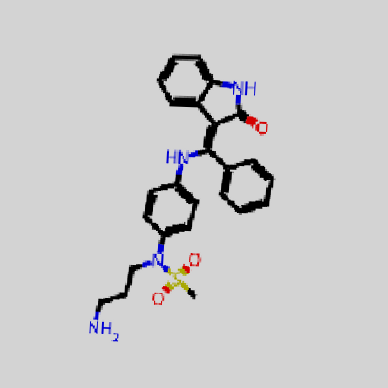 CS(=O)(=O)N(CCCN)c1ccc(NC(=C2C(=O)Nc3ccccc32)c2ccccc2)cc1